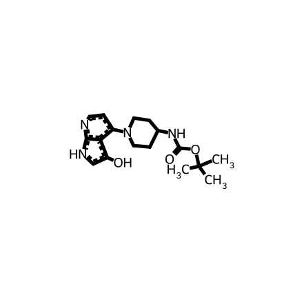 CC(C)(C)OC(=O)NC1CCN(c2ccnc3[nH]cc(O)c23)CC1